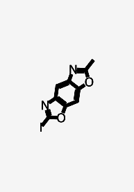 Cc1nc2cc3nc(I)oc3cc2o1